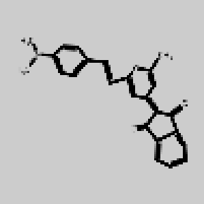 CC1=CC(=C2C(=O)c3ccccc3C2=O)C=C(C=Cc2ccc(N(C)C)cc2)O1